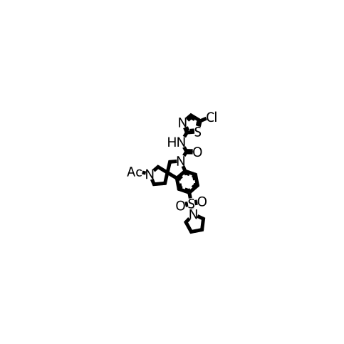 CC(=O)N1CCC2(C1)CN(C(=O)Nc1ncc(Cl)s1)c1ccc(S(=O)(=O)N3CCCC3)cc12